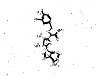 CNC(=O)C(OCc1ccc(N)c(I)c1)[C@H]1O[C@@H](n2cnc3c(N)ncnc32)[C@H](O)[C@@H]1O